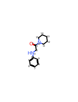 O=C(CNc1ccccc1)N1CCCCC1